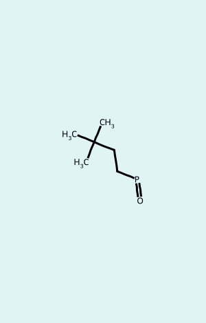 CC(C)(C)CCP=O